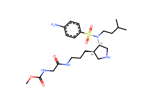 COC(=O)NCC(=O)NCCC[C@@H]1CNC[C@H]1N(CCC(C)C)S(=O)(=O)c1ccc(N)cc1